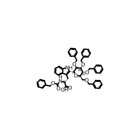 O=C(N[C@H](Cc1c([C@H]2O[C@H](COCc3ccccc3)[C@@H](OCc3ccccc3)[C@H](OCc3ccccc3)[C@@H]2OCc2ccccc2)[nH]c2ccccc12)C(=O)O)OCc1ccccc1